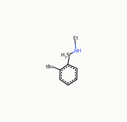 CCN[SiH2]c1ccccc1C(C)(C)C